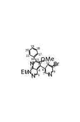 CCn1ncc2c(-c3cncc(Br)c3)c(OC)c(-c3ccccc3)nc21